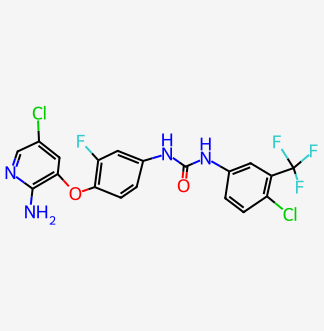 Nc1ncc(Cl)cc1Oc1ccc(NC(=O)Nc2ccc(Cl)c(C(F)(F)F)c2)cc1F